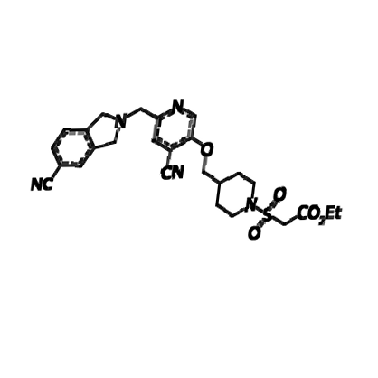 CCOC(=O)CS(=O)(=O)N1CCC(COc2cnc(CN3Cc4ccc(C#N)cc4C3)cc2C#N)CC1